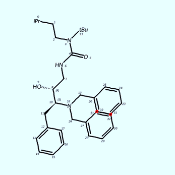 CC(C)CCN(C(=O)NC[C@@H](O)[C@H](Cc1ccccc1)N(Cc1ccccc1)Cc1ccccc1)C(C)(C)C